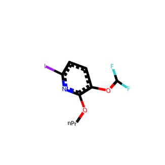 CCCOc1nc(I)ccc1OC(F)F